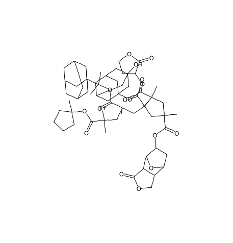 CCC(C)(CC(C)(CC(C)(CC(C)(CC(C)(C)C(=O)OC12CC3CC(CC(O)(C3)C1)C2)C(=O)OC1CC2OC1C1C(=O)OCC21)C(=O)OC1CCOC1=O)C(=O)OC(C)(C)C12CC3CC(CC(C3)C1)C2)C(=O)OC1(C)CCCC1